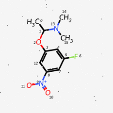 CC(Oc1cc(F)cc([N+](=O)[O-])c1)N(C)C